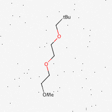 COCCOCCOCC(C)(C)C